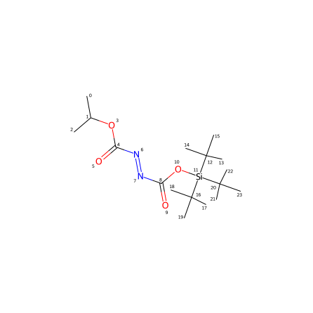 CC(C)OC(=O)N=NC(=O)O[Si](C(C)(C)C)(C(C)(C)C)C(C)(C)C